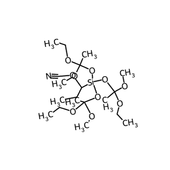 CCOC(C)(OC)O[Si](OC(C)(OC)OCC)(OC(C)(OC)OCC)C(CC)OC#N